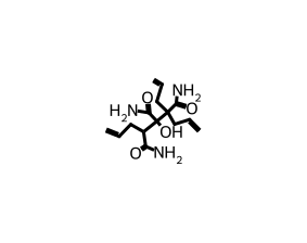 C=CCC(C(N)=O)C(O)(C(N)=O)C(CC=C)(CC=C)C(N)=O